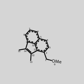 COCc1ccc2cccc3c2c1C(C)=C3C